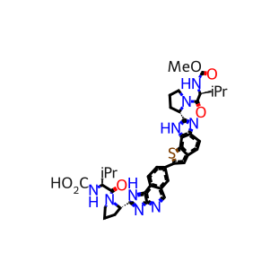 COC(=O)N[C@H](C(=O)N1CCC[C@H]1c1nc2ccc3cc(-c4ccc5c(cnc6nc([C@@H]7CCCN7C(=O)[C@@H](NC(=O)O)C(C)C)[nH]c65)c4)sc3c2[nH]1)C(C)C